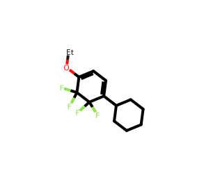 CCOC1=CC=C(C2CCCCC2)C(F)(F)C1(F)F